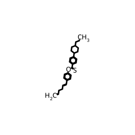 C=CCCC=Cc1ccc(OC(=S)c2ccc(C3CCC(CCC)CC3)cc2)cc1